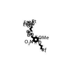 CCO[Si](CCCS(=O)(=O)OCc1cc(OC)c(OCC[CH2][Rf])cc1[N+](=O)[O-])(OCC)OCC